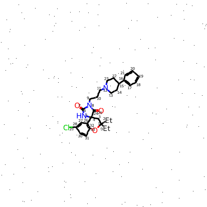 CCC1(CC)CC2(NC(=O)N(CCCN3CCC(c4ccccc4)CC3)C2=O)c2cc(Cl)ccc2O1